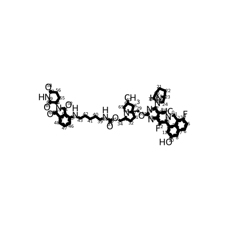 C#Cc1c(F)ccc2cc(O)cc(-c3ncc4c(N5CC6CCC(C5)N6)nc(OC[C@@]56CCC(COC(=O)NCCCCCNc7cccc8c7C(=O)N(C7CCC(=O)NC7=O)C8=O)N5CC(C)C6)nc4c3F)c12